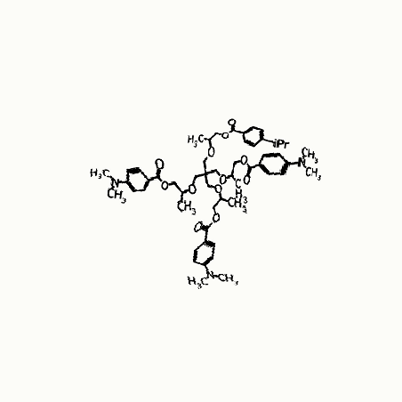 CC(COC(=O)c1ccc(C(C)C)cc1)OCC(COC(C)COC(=O)c1ccc(N(C)C)cc1)(COC(C)COC(=O)c1ccc(N(C)C)cc1)COC(C)COC(=O)c1ccc(N(C)C)cc1